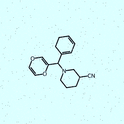 N#CC1CCCN(C(C2=CC=CCC2)C2=COC=CO2)C1